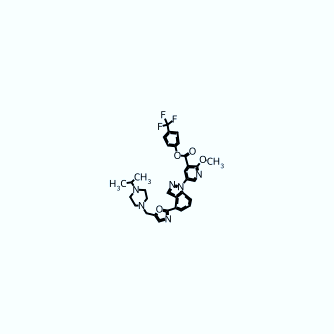 COc1ncc(-n2ncc3c(-c4ncc(CN5CCN(C(C)C)CC5)o4)cccc32)cc1C(=O)Oc1ccc(C(F)(F)F)cc1